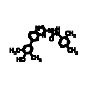 Cc1ccc(NC(=O)Nc2cnc3ccc(-c4cc(C)c(O)c(C)c4)cc3n2)c(C)c1